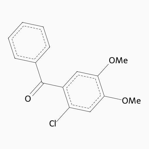 COc1cc(Cl)c(C(=O)c2ccccc2)cc1OC